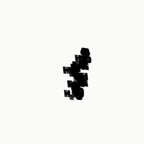 CS(=O)(=O)C(N)c1cc(F)cc(-c2cncc3[nH]c(-c4n[nH]c5cnc(-c6cncc(NC(=O)C7CCCC7)c6)cc45)nc23)c1